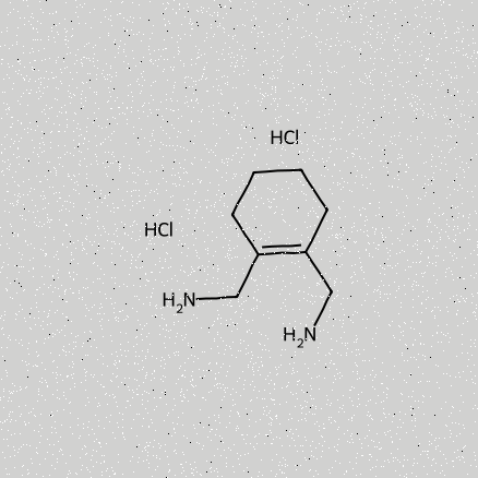 Cl.Cl.NCC1=C(CN)CCCC1